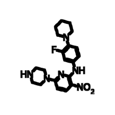 O=[N+]([O-])c1ccc(N2CCNCC2)nc1Nc1ccc(N2CCCCC2)c(F)c1